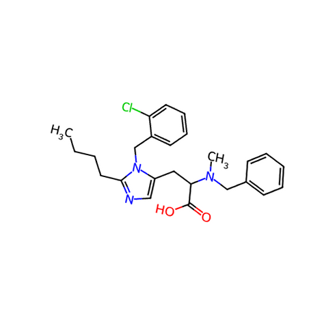 CCCCc1ncc(CC(C(=O)O)N(C)Cc2ccccc2)n1Cc1ccccc1Cl